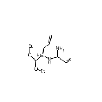 C=CC[SiH](NC(N)C=C)C(OCC)OCC